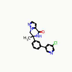 CC1(c2cccc(-c3cncc(Cl)c3)c2)Cn2nccc2C(=O)N1